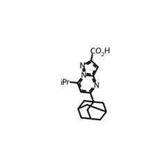 CC(C)c1cc(C23CC4CC(CC(C4)C2)C3)nc2cc(C(=O)O)nn12